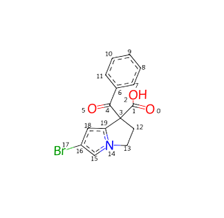 O=C(O)C1(C(=O)c2ccccc2)CCn2cc(Br)cc21